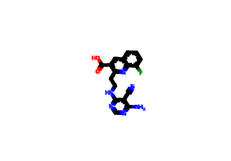 N#Cc1c(N)ncnc1NCCc1nc2c(F)cccc2cc1C(=O)O